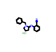 Cl.N#Cc1ccccc1/N=C1\CCCN1Cc1ccccc1